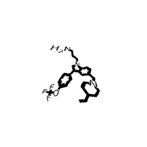 CCC1CCN(Cc2ccc3c(c2)c(-c2ccc(OC(F)(F)F)cc2)cn3CCCN)CC1